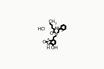 CCCCC(N)C(=O)N(CCc1ccccc1)CCc1ccc(O)c2[nH]c(=O)sc12.Cl